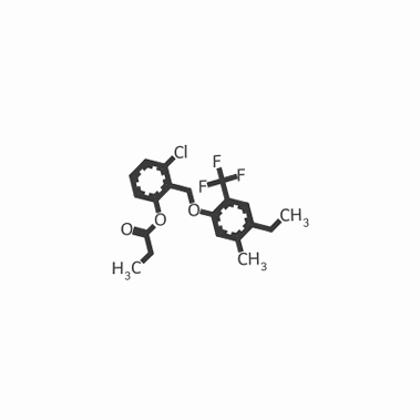 CCC(=O)Oc1cccc(Cl)c1COc1cc(C)c(CC)cc1C(F)(F)F